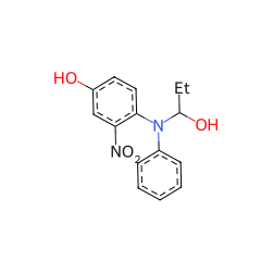 CCC(O)N(c1ccccc1)c1ccc(O)cc1[N+](=O)[O-]